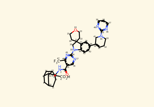 O=C(NC1(C(=O)O)C2CCC3CC(C2)CC1C3)c1cnc(N2CC3(CCOCC3)c3cc(C4=CCCN(c5ncccn5)C4)ccc32)nc1C(F)(F)F